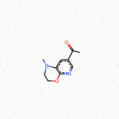 CC(=O)c1cnc2c(c1)N(C)CCO2